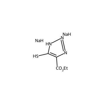 CCOC(=O)c1nn[nH]c1S.[NaH].[NaH]